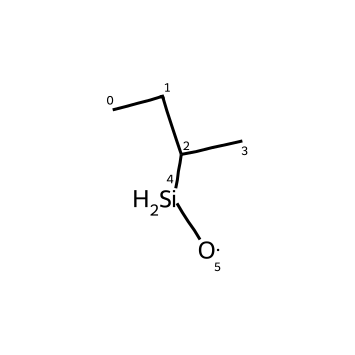 CCC(C)[SiH2][O]